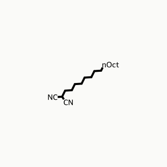 CCCCCCCCCCCCCCCCC(C#N)C#N